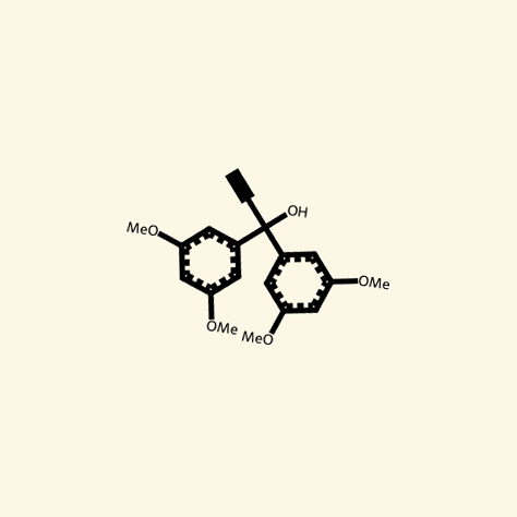 C#CC(O)(c1cc(OC)cc(OC)c1)c1cc(OC)cc(OC)c1